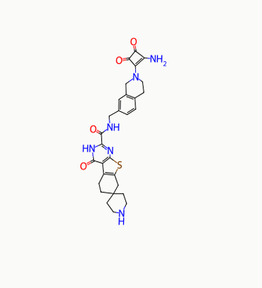 Nc1c(N2CCc3ccc(CNC(=O)c4nc5sc6c(c5c(=O)[nH]4)CCC4(CCNCC4)C6)cc3C2)c(=O)c1=O